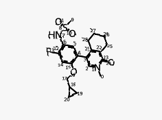 Cn1cc(-c2cc(NS(C)(=O)=O)c(F)cc2OCC2CC2)c2c(c1=O)CCCC2